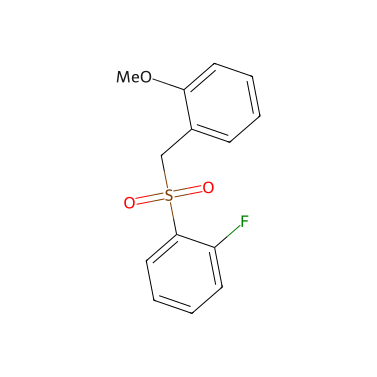 COc1ccccc1CS(=O)(=O)c1ccccc1F